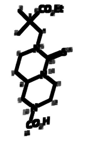 CCOC(=O)C(C)(C)CN1CCC2CN(C(=O)O)CCN2C1=S